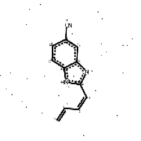 C=C/C=C\c1nc2cc(C#N)ccc2[nH]1